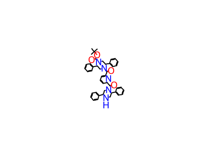 CC(C)(C)OC(=O)N1CC(c2ccccc2)N(C(=O)c2cccc(C(=O)N3CC(c4ccccc4)NCC3c3ccccc3)n2)CC1c1ccccc1